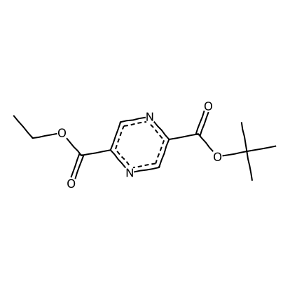 CCOC(=O)c1cnc(C(=O)OC(C)(C)C)cn1